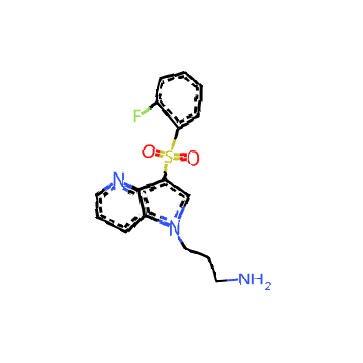 NCCCn1cc(S(=O)(=O)c2ccccc2F)c2ncccc21